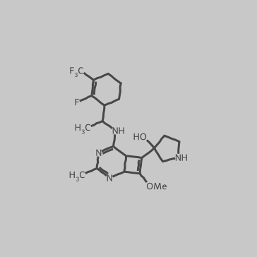 COC1=C(C2(O)CCNC2)C2C(NC(C)C3CCCC(C(F)(F)F)=C3F)=NC(C)=NC12